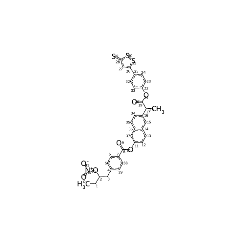 CCC(Cc1ccc(C(=O)Oc2ccc3cc([C@H](C)C(=O)Oc4ccc(-c5cc(=S)ss5)cc4)ccc3c2)cc1)O[N+](=O)[O-]